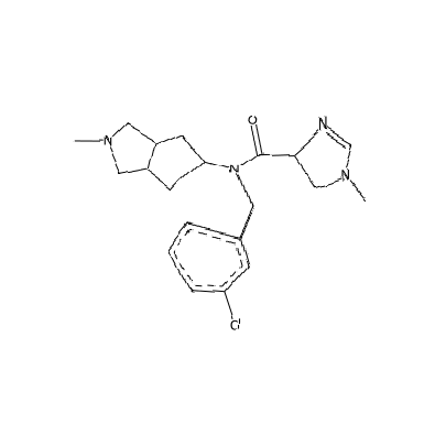 CN1C=NC(C(=O)N(Cc2cccc(Cl)c2)C2CC3CN(C)CC3C2)C1